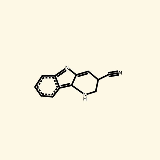 N#CC1C=C2N=c3ccccc3=C2NC1